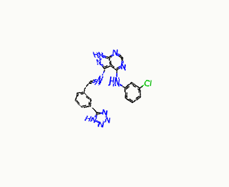 Clc1cccc(Nc2ncnc3[nH]nc(/N=C/c4cccc(-c5nnn[nH]5)c4)c23)c1